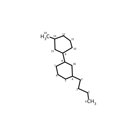 CCCCC1CCCC(C2CCCC(C)C2)C1